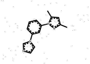 Cc1cc(C)n(-c2cccc(-n3ccnc3)c2)n1